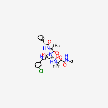 CCC[C@H](NC(=O)[C@@H]1C[C@]2(CC(c3cccc(Cl)c3)=NO2)CN1C(=O)[C@@H](NC(=O)CC1CC2CCC1C2)C(C)(C)C)C(=O)C(=O)NC1CC1